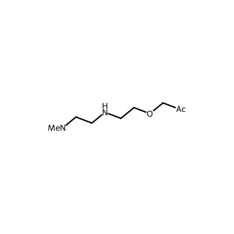 CNCCNCCOCC(C)=O